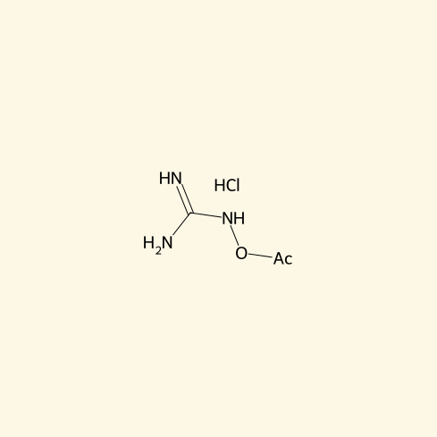 CC(=O)ONC(=N)N.Cl